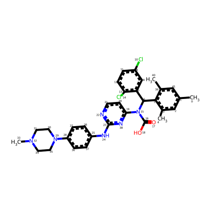 Cc1cc(C)c(C(c2cc(Cl)ccc2Cl)N(C(=O)O)c2ccnc(Nc3ccc(N4CCN(C)CC4)cc3)n2)c(C)c1